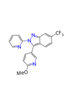 COc1ccc(-c2c3ccc(C(F)(F)F)cc3nn2-c2ccccn2)cn1